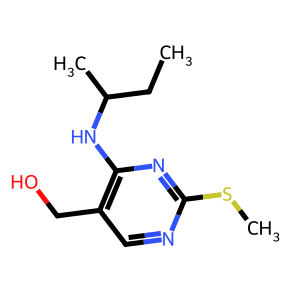 CCC(C)Nc1nc(SC)ncc1CO